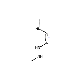 CN/C=N\NNC